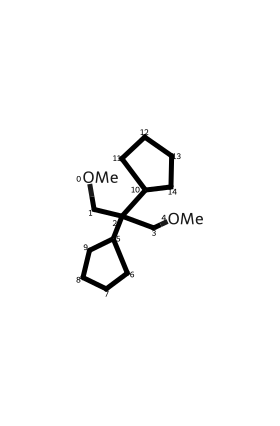 COCC(COC)(C1CCCC1)C1CCCC1